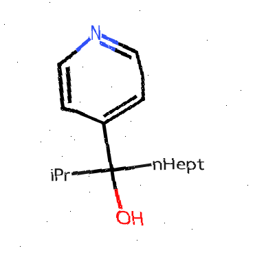 CCCCCCCC(O)(c1ccncc1)C(C)C